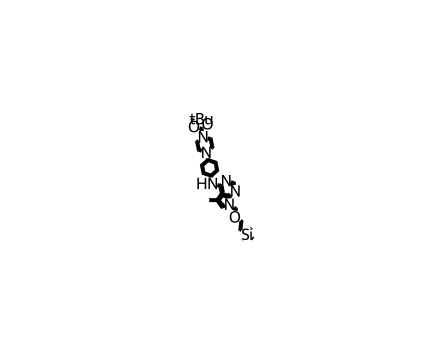 Cc1cn(COCC[Si](C)(C)C)c2ncnc(NC3CCC(N4CCN(C(=O)OC(C)(C)C)CC4)CC3)c12